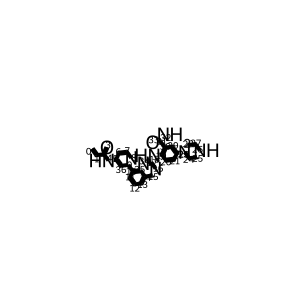 C=CC(=O)Nc1ccnc(-c2cccc3cnc(Nc4ccc(N5CCNCC5)cc4C(N)=O)nc23)c1